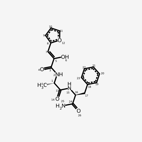 C[C@H](NC(=O)C(O)=Cc1ccco1)C(=O)N[C@@H](Cc1ccccc1)C(N)=O